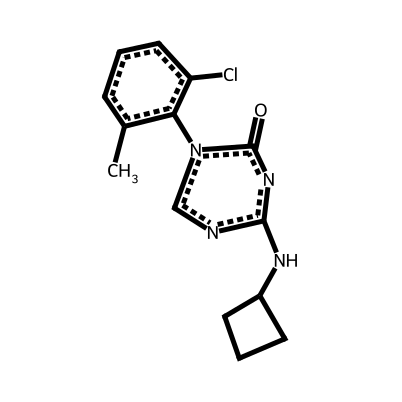 Cc1cccc(Cl)c1-n1cnc(NC2CCC2)nc1=O